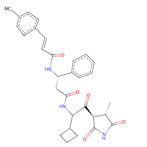 C[C@@H]1C(=O)NC(=O)[C@H]1C(=O)C(NC(=O)C[C@H](NC(=O)/C=C/c1ccc(C#N)cc1)c1ccccc1)C1CCC1